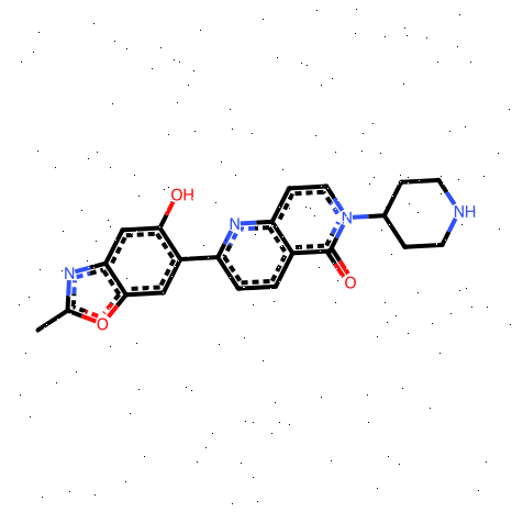 Cc1nc2cc(O)c(-c3ccc4c(=O)n(C5CCNCC5)ccc4n3)cc2o1